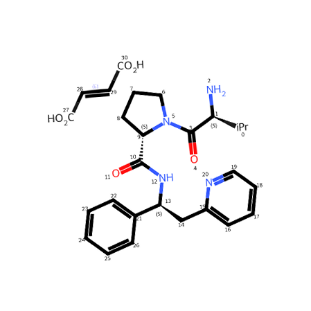 CC(C)[C@H](N)C(=O)N1CCC[C@H]1C(=O)N[C@@H](Cc1ccccn1)c1ccccc1.O=C(O)/C=C/C(=O)O